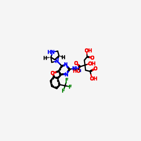 Nc1nc(N2C[C@@H]3C[C@H]2CN3)c2oc3cccc(C(F)(F)F)c3c2n1.O=C(O)CC(O)(CC(=O)O)C(=O)O